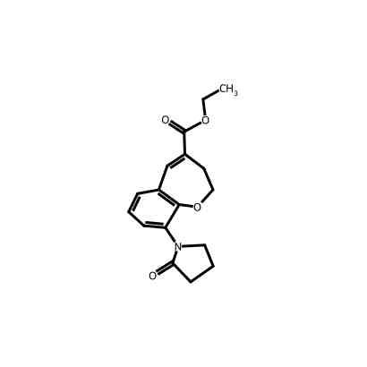 CCOC(=O)C1=Cc2cccc(N3CCCC3=O)c2OCC1